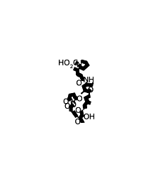 CC(/C=C/[C@H]1O[C@H](CC(=O)ON2C(=O)CCC2=O)C[C@@]2(CO2)[C@@H]1O)=C\C[C@@H]1O[C@H](C)[C@H](NC(=O)/C=C/C(C)[C@@H]2CCCCN2C(=O)O)C[C@@H]1C